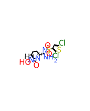 NC(=NS(=O)(=O)c1cc(Cl)sc1Cl)[C@@H]1CC[C@@H]2CN1C(=O)N2O